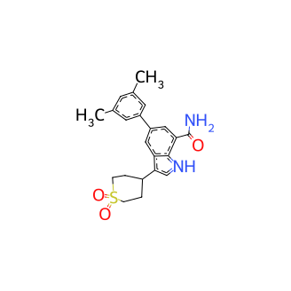 Cc1cc(C)cc(-c2cc(C(N)=O)c3[nH]cc(C4CCS(=O)(=O)CC4)c3c2)c1